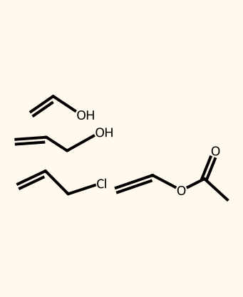 C=CCCl.C=CCO.C=CO.C=COC(C)=O